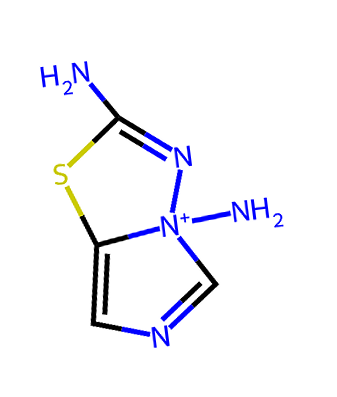 NC1=N[N+]2(N)C=NC=C2S1